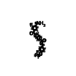 NSc1ccc(C(=O)N2CC3CN(C(=O)OCc4ccc(OC(F)(F)F)cc4)CC3C2)cc1F